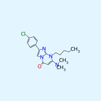 CCCCCn1c(N(C)C)cc(=O)n2cc(-c3ccc(Cl)cc3)nc12